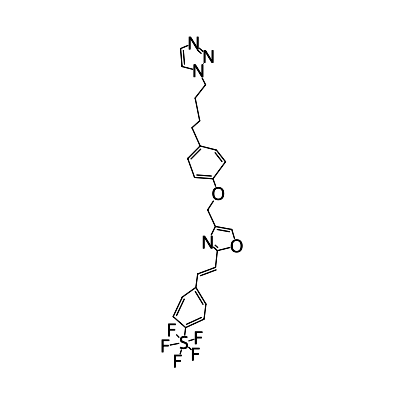 FS(F)(F)(F)(F)c1ccc(C=Cc2nc(COc3ccc(CCCCn4ccnn4)cc3)co2)cc1